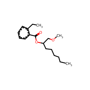 CCCCCCC(COC)OC(=O)c1ccccc1CC